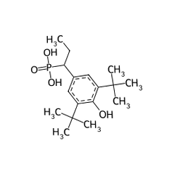 CCC(c1cc(C(C)(C)C)c(O)c(C(C)(C)C)c1)P(=O)(O)O